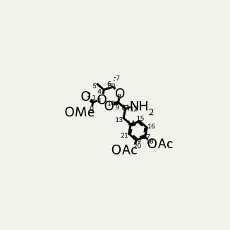 COC(=O)OC(C)[C@H](C)OC(=O)[C@@H](N)Cc1ccc(OC(C)=O)c(OC(C)=O)c1